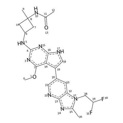 COc1nc(NC2CC(C)(NC(C)=O)C2)nc2[nH]cc(-c3cnc4nc(C)n(CC(F)F)c4c3)c12